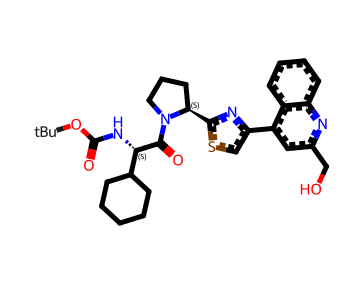 CC(C)(C)OC(=O)N[C@H](C(=O)N1CCC[C@H]1c1nc(-c2cc(CO)nc3ccccc23)cs1)C1CCCCC1